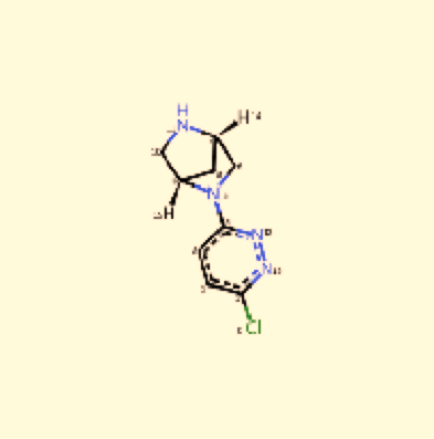 Clc1ccc(N2C[C@@H]3C[C@H]2CN3)nn1